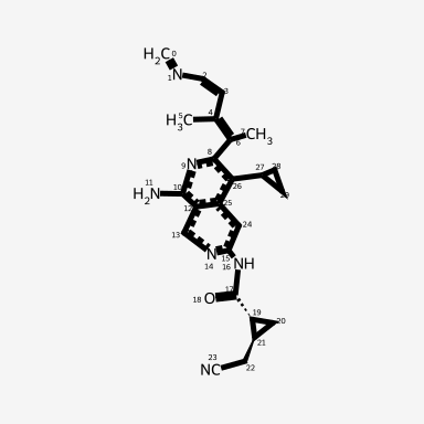 C=N/C=C\C(C)=C(/C)c1nc(N)c2cnc(NC(=O)[C@@H]3C[C@H]3CC#N)cc2c1C1CC1